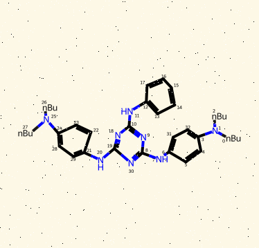 CCCCN(CCCC)c1ccc(Nc2nc(Nc3ccccc3)nc(Nc3ccc(N(CCCC)CCCC)cc3)n2)cc1